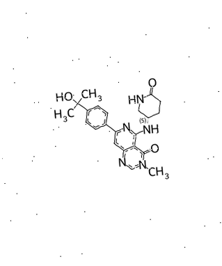 Cn1cnc2cc(-c3ccc(C(C)(C)O)cc3)nc(N[C@H]3CCC(=O)NC3)c2c1=O